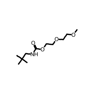 COCCOCCOC(=O)NCC(C)(C)C